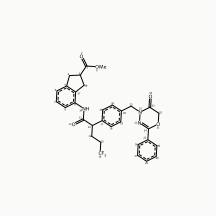 COC(=O)C1Cc2cccc(NC(=O)C(CCC(F)(F)F)c3ccc(CN4N=C(c5ccccc5)OCC4=O)cc3)c2C1